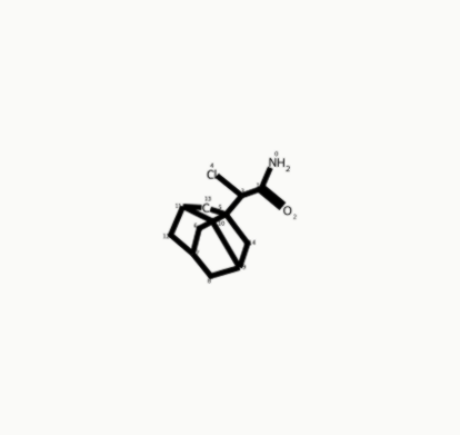 NC(=O)C(Cl)C12CC3CC(CC(C3)C1)C2